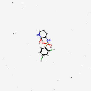 O=C1NCCC[C@@H]1NS(=O)(=O)c1ccc(F)cc1F